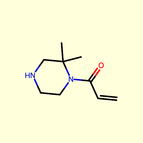 C=CC(=O)N1CCNCC1(C)C